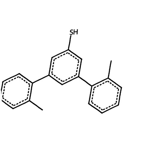 Cc1ccccc1-c1cc(S)cc(-c2ccccc2C)c1